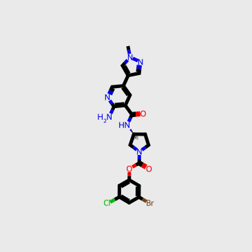 Cn1cc(-c2cnc(N)c(C(=O)N[C@@H]3CCN(C(=O)Oc4cc(Cl)cc(Br)c4)C3)c2)cn1